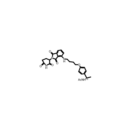 CC(=O)N[C@@H](C)c1ccc(OCCCCNc2cccc3c2C(=O)N(C2CCC(=O)NC2=O)C3=O)cc1